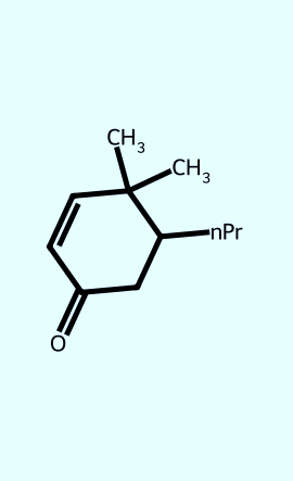 CCCC1CC(=O)C=CC1(C)C